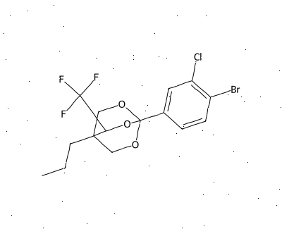 CCCC12COC(c3ccc(Br)c(Cl)c3)(OC1)OC2C(F)(F)F